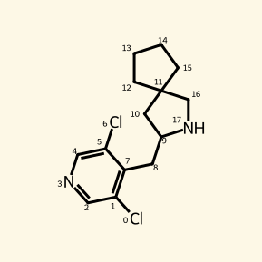 Clc1cncc(Cl)c1CC1CC2(CCCC2)CN1